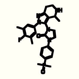 Cc1cc(-n2nc3c(c2-n2ccn(-c4ccc(P(C)(C)=O)cc4)c2=O)C(C)NCC3)cc(C)c1F